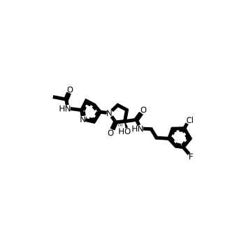 CC(=O)Nc1ccc(N2CC[C@](O)(C(=O)NCCc3cc(F)cc(Cl)c3)C2=O)cn1